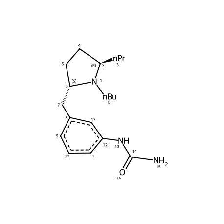 CCCCN1[C@H](CCC)CC[C@H]1Cc1cccc(NC(N)=O)c1